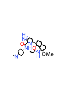 C=CC(=O)Nc1c(OC)ccc2ccc(-c3ccc(N)c(C(=O)N[C@H]4CC[C@H](N(C)C)CC4)n3)cc12